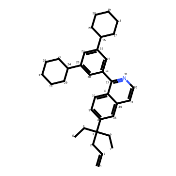 C=CCC(CC)(CC)c1ccc2c(-c3cc(C4CCCCC4)cc(C4CCCCC4)c3)nccc2c1